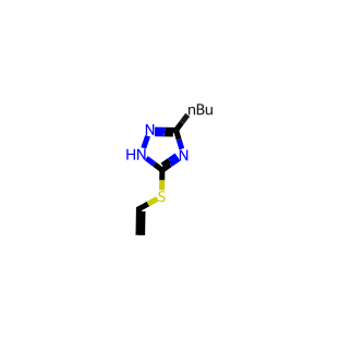 C=CSc1nc(CCCC)n[nH]1